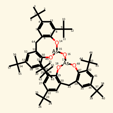 CC(C)(C)c1cc2c(c(C(C)(C)C)c1)O[As](O[As]1Oc3c(cc(C(C)(C)C)cc3C(C)(C)C)Cc3cc(C(C)(C)C)cc(C(C)(C)C)c3O1)Oc1c(cc(C(C)(C)C)cc1C(C)(C)C)C2